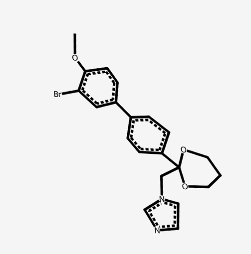 COc1ccc(-c2ccc(C3(Cn4ccnc4)OCCCO3)cc2)cc1Br